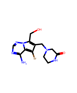 Nc1ncnn2c(CO)c(CN3CCNC(=O)C3)c(Br)c12